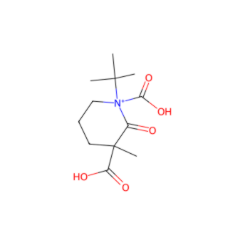 CC1(C(=O)O)CCC[N+](C(=O)O)(C(C)(C)C)C1=O